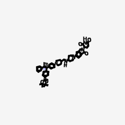 CC/C(=C(/c1ccc(B2OC(C)(C)C(C)(C)O2)cc1)c1ccc(N2CCC(CNC3CCN(c4ccc5c(c4)CN(C4CCC(=O)NC4=O)C5=O)CC3)CC2)cc1)c1ccccc1